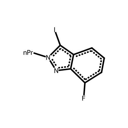 CCCn1nc2c(F)cccc2c1I